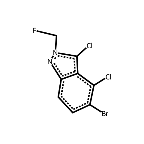 FCn1nc2ccc(Br)c(Cl)c2c1Cl